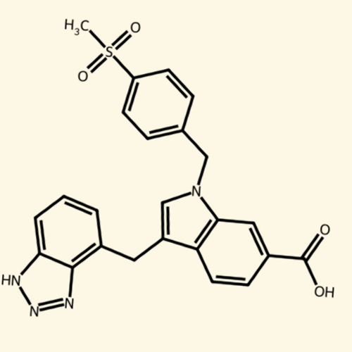 CS(=O)(=O)c1ccc(Cn2cc(Cc3cccc4[nH]nnc34)c3ccc(C(=O)O)cc32)cc1